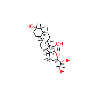 C[C@@H]1C[C@H]([C@H](O)C(C)(C)O)O[C@H]2[C@H]1[C@@]1(C)CC[C@@]34C[C@@]35CCC(C)(O)C(C)(C)[C@@H]5CC[C@H]4[C@]1(C)[C@H]2O